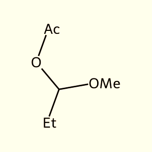 [CH2]CC(OC)OC(C)=O